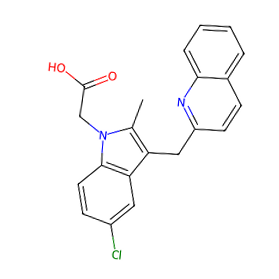 Cc1c(Cc2ccc3ccccc3n2)c2cc(Cl)ccc2n1CC(=O)O